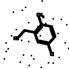 Cc1ccc(Cl)cc1CS